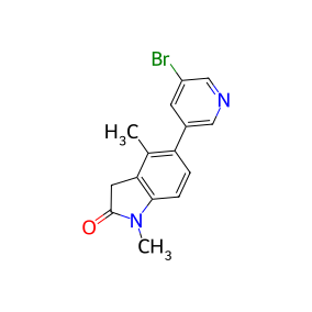 Cc1c(-c2cncc(Br)c2)ccc2c1CC(=O)N2C